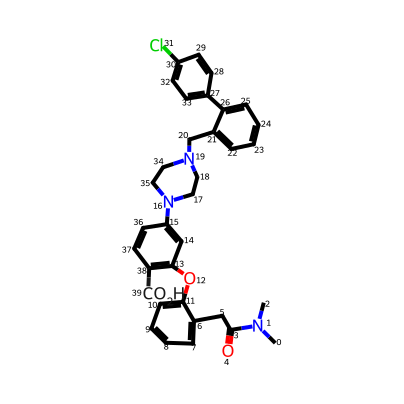 CN(C)C(=O)Cc1ccccc1Oc1cc(N2CCN(Cc3ccccc3-c3ccc(Cl)cc3)CC2)ccc1C(=O)O